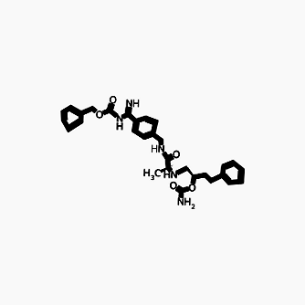 C[C@H](NC[C@@H](CCc1ccccc1)OC(N)=O)C(=O)NCc1ccc(C(=N)NC(=O)OCc2ccccc2)cc1